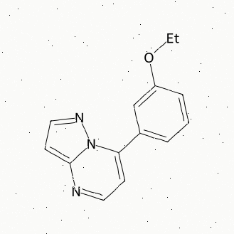 CCOc1cccc(-c2ccnc3ccnn23)c1